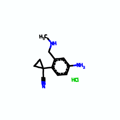 CNCc1cc(N)ccc1C1(C#N)CC1.Cl